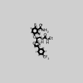 CCNC(=O)NCC(Oc1ccc(F)c(C(N)=O)c1F)c1nc(-c2ccc(C(F)(F)F)cc2)co1